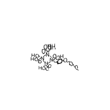 CCOCCOCCOc1ccc(CC(C(=O)O)N2CCN(C(CO)C(=O)O)CCN(C(CO)C(=O)O)CCN(C(CO)C(=O)OC)CC2)cc1